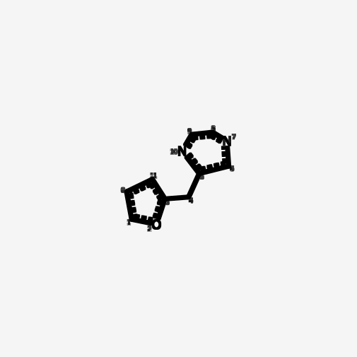 c1coc(Cc2cnccn2)c1